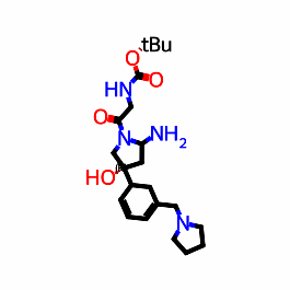 CC(C)(C)OC(=O)NCC(=O)N1C[C@](O)(C2C=CC=C(CN3CCCC3)C2)CC1N